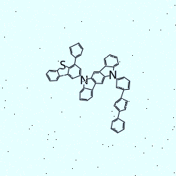 c1ccc(-c2ccc(-c3cccc(-n4c5ccccc5c5cc6c(cc54)c4ccccc4n6-c4cc(-c5ccccc5)c5sc6ccccc6c5c4)c3)cc2)cc1